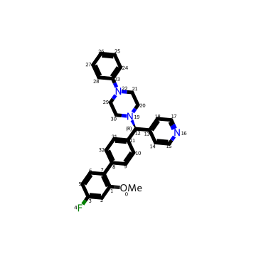 COc1cc(F)ccc1-c1ccc([C@H](c2ccncc2)N2CCN(c3ccccc3)CC2)cc1